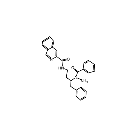 CN(C(=O)c1ccccc1)[C@H](CCNC(=O)c1cc2ccccc2cn1)Cc1ccccc1